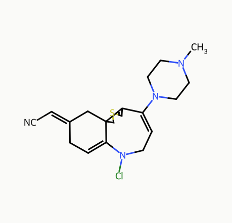 CN1CCN(C2=CCN(Cl)C3=CCC(=CC#N)CC34CSC=C24)CC1